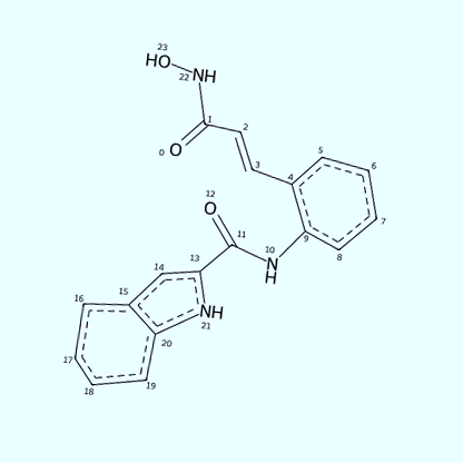 O=C(C=Cc1ccccc1NC(=O)c1cc2ccccc2[nH]1)NO